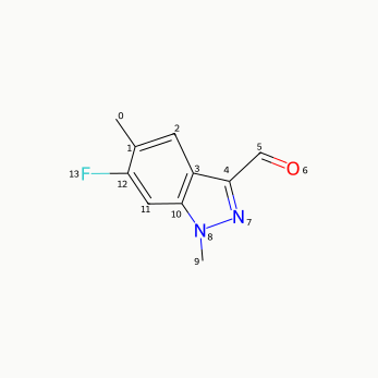 Cc1cc2c(C=O)nn(C)c2cc1F